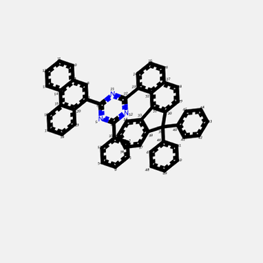 c1ccc(-c2nc(-c3cc4ccccc4c4ccccc34)nc(-c3cccc4ccc5c(c34)-c3ccccc3C5(c3ccccc3)c3ccccc3)n2)cc1